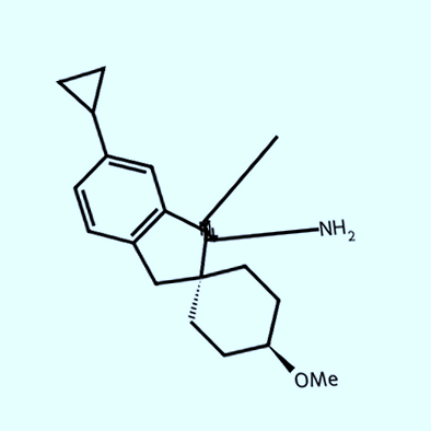 CO[C@H]1CC[C@]2(CC1)Cc1ccc(C3CC3)cc1C21N=C(C)C(N)=N1